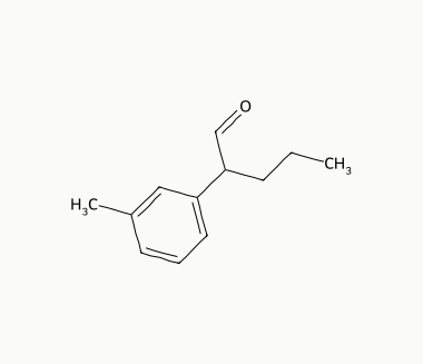 CCCC(C=O)c1cccc(C)c1